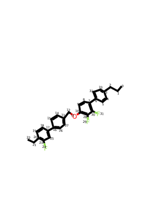 CCCc1ccc(-c2ccc(OCc3ccc(-c4ccc(CC)c(F)c4)cc3)c(F)c2F)cc1